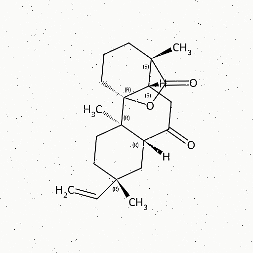 C=C[C@]1(C)CC[C@]2(C)[C@@H](C1)C(=O)C[C@H]1[C@]3(C)CCC[C@@]12OC3=O